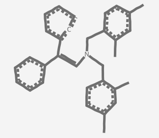 Cc1ccc(CN(C=C(c2ccccc2)c2ccccc2)Cc2ccc(C)cc2C)c(C)c1